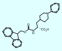 O=C(N[C@H](CC1CCN(c2ccccc2)CC1)C(=O)O)OCC1c2ccccc2-c2ccccc21